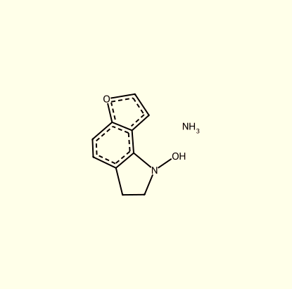 N.ON1CCc2ccc3occc3c21